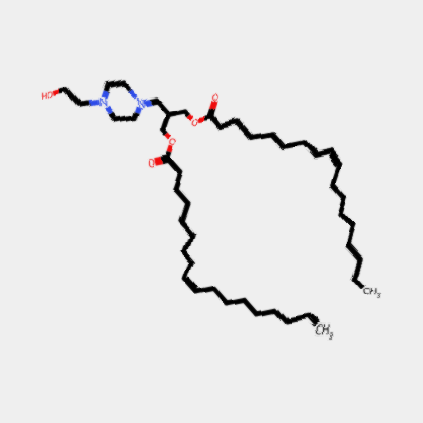 CCCCCCCC/C=C\CCCCCCCC(=O)OCC(COC(=O)CCCCCCC/C=C\CCCCCCCC)CN1CCN(CCO)CC1